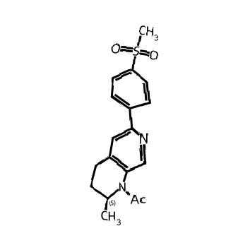 CC(=O)N1c2cnc(-c3ccc(S(C)(=O)=O)cc3)cc2CC[C@@H]1C